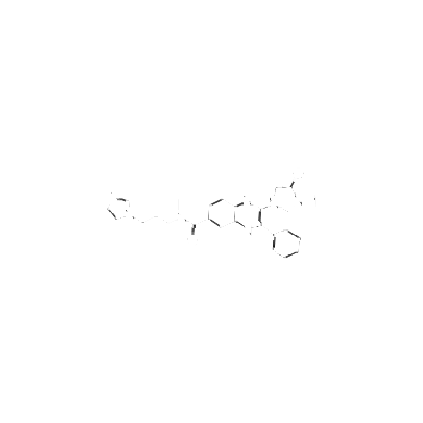 O=C1CN(c2nc3ccc(C(=O)NCCCn4ccnc4)cc3nc2-c2ccccc2)CN1